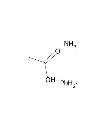 CC(=O)O.N.[PbH2]